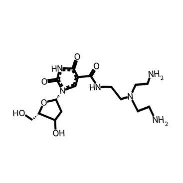 NCCN(CCN)CCNC(=O)c1cn([C@@H]2CC(O)[C@H](CO)O2)c(=O)[nH]c1=O